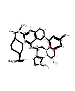 CC[C@H](C1CCC(C(=O)OC)CC1)N(C)c1nc2c(c(N[C@@H](CN3CCC[C@H](C)C3)c3cnn(C)c3)n1)C[C@H](c1cccc(F)c1)CC2